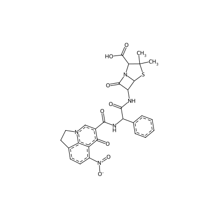 CC1(C)SC2C(NC(=O)C(NC(=O)c3cn4c5c(ccc([N+](=O)[O-])c5c3=O)CC4)c3ccccc3)C(=O)N2C1C(=O)O